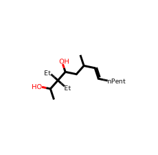 CCCCCC=CC(C)CC(O)C(CC)(CC)C(C)O